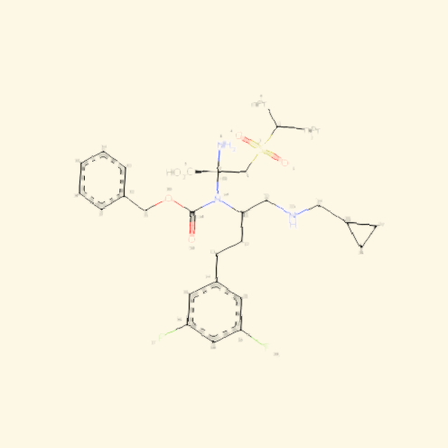 CCCC(CCC)S(=O)(=O)C[C@](N)(C(=O)O)N([C](CCc1cc(F)cc(F)c1)CNCC1CC1)C(=O)OCc1ccccc1